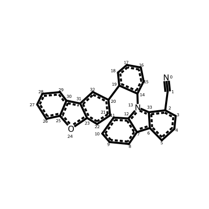 N#Cc1cccc2c3ccccc3n(-c3ccccc3-c3ccc4oc5ccccc5c4c3)c12